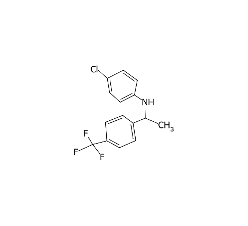 CC(Nc1ccc(Cl)cc1)c1ccc(C(F)(F)F)cc1